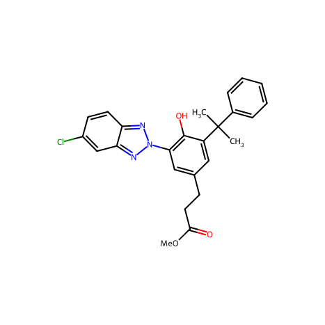 COC(=O)CCc1cc(-n2nc3ccc(Cl)cc3n2)c(O)c(C(C)(C)c2ccccc2)c1